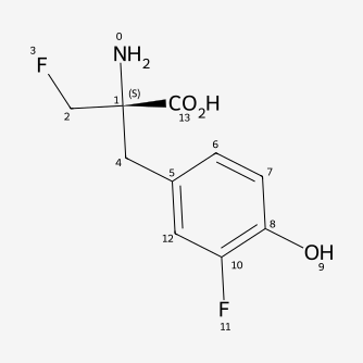 N[C@@](CF)(Cc1ccc(O)c(F)c1)C(=O)O